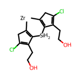 CC1=C([SiH2]C2=C(C)CC(Cl)=C2CCO)C(CCO)=C(Cl)C1.[Zr]